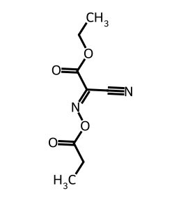 CCOC(=O)/C(C#N)=N/OC(=O)CC